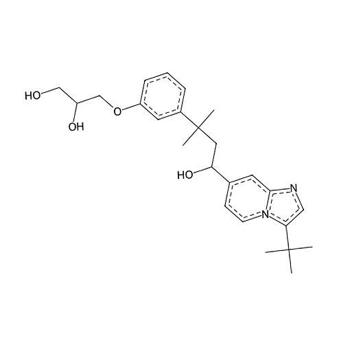 CC(C)(C)c1cnc2cc(C(O)CC(C)(C)c3cccc(OCC(O)CO)c3)ccn12